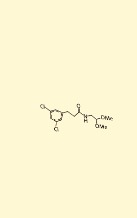 COC(CNC(=O)CCc1cc(Cl)cc(Cl)c1)OC